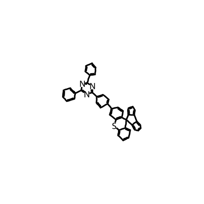 c1ccc(-c2nc(-c3ccccc3)nc(-c3ccc(-c4ccc5c(c4)Sc4ccccc4C54c5ccccc5-c5ccccc54)cc3)n2)cc1